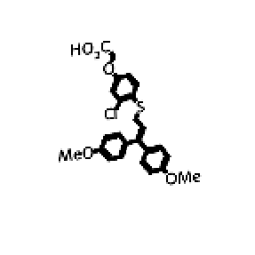 COc1ccc(C(=CCSc2ccc(OCC(=O)O)cc2Cl)c2ccc(OC)cc2)cc1